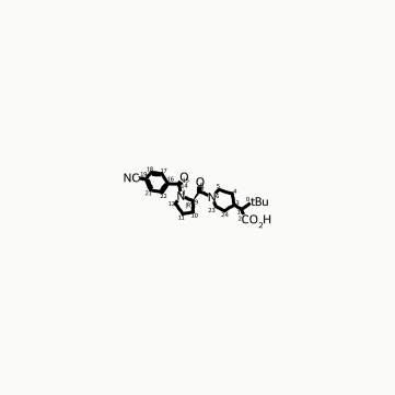 CC(C)(C)C(C(=O)O)C1CCN(C(=O)[C@H]2CCCN2C(=O)c2ccc(C#N)cc2)CC1